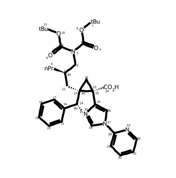 CCC[C@@H](CN(C(=O)OC(C)(C)C)C(=O)OC(C)(C)C)C[C@]1([C@H](C)c2ccccc2)C[C@@]1(C(=O)O)c1cn(-c2ccccn2)cn1